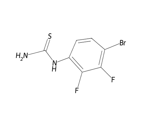 NC(=S)Nc1ccc(Br)c(F)c1F